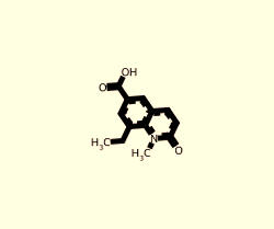 CCc1cc(C(=O)O)cc2ccc(=O)n(C)c12